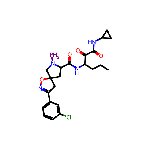 CCCC(NC(=O)C1CC2(CC(c3cccc(Cl)c3)=NO2)CN1P)C(=O)C(=O)NC1CC1